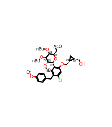 CCCCO[C@@H]1[C@@H](OCCCC)[C@H](c2cc(Cc3ccc(OCC)cc3)c(Cl)cc2OC[C@@H]2C[C@@H]2CO)O[C@H](COC(C)=O)[C@H]1OCCCC